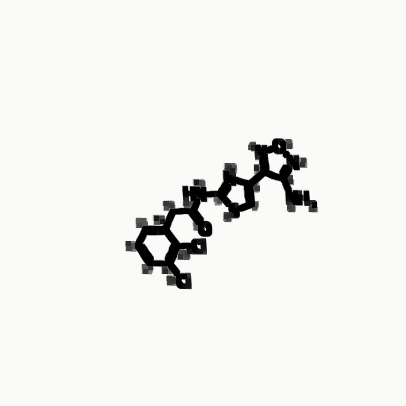 Nc1nonc1-c1csc(NC(=O)Cc2cccc(Cl)c2Cl)n1